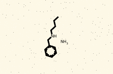 CCCCNCc1ccccc1.N